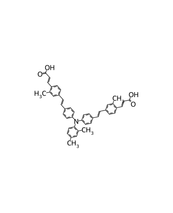 Cc1ccc(N(c2ccc(/C=C/c3ccc(/C=C/C(=O)O)c(C)c3)cc2)c2ccc(/C=C/c3ccc(/C=C/C(=O)O)c(C)c3)cc2)c(C)c1